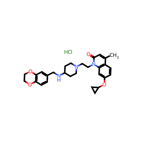 Cc1cc(=O)n(CCN2CCC(NCc3ccc4c(c3)OCCO4)CC2)c2cc(OC3CC3)ccc12.Cl